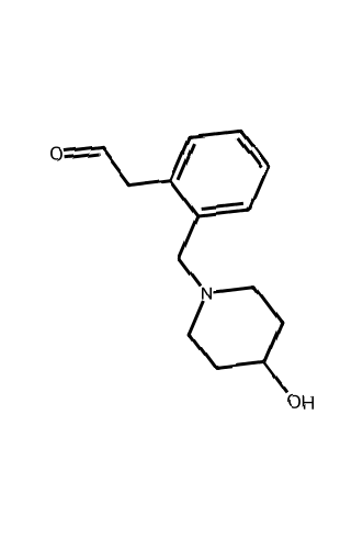 O=CCc1ccccc1CN1CCC(O)CC1